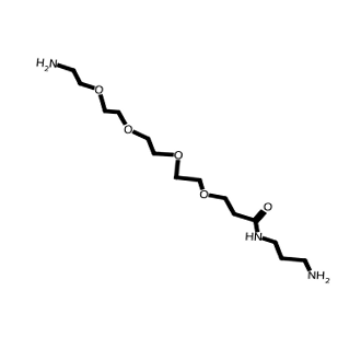 NCCCNC(=O)CCOCCOCCOCCOCCN